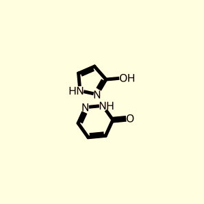 O=c1cccn[nH]1.Oc1cc[nH]n1